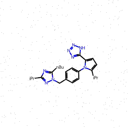 CCCCc1nc(C(C)C)nn1Cc1ccc(-n2c(-c3nnn[nH]3)ccc2C(C)C)cc1